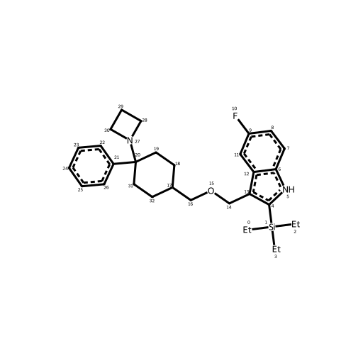 CC[Si](CC)(CC)c1[nH]c2ccc(F)cc2c1COCC1CCC(c2ccccc2)(N2CCC2)CC1